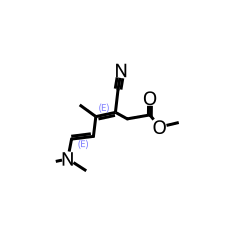 COC(=O)C/C(C#N)=C(C)\C=C\N(C)C